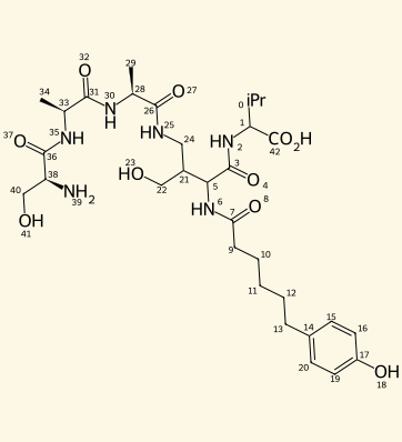 CC(C)C(NC(=O)C(NC(=O)CCCCCc1ccc(O)cc1)C(CO)CNC(=O)[C@H](C)NC(=O)[C@H](C)NC(=O)[C@@H](N)CO)C(=O)O